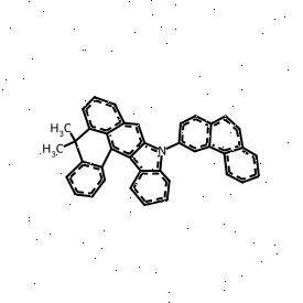 CC1(C)c2ccccc2-c2c3c1cccc3cc1c2c2ccccc2n1-c1ccc2ccc3ccccc3c2c1